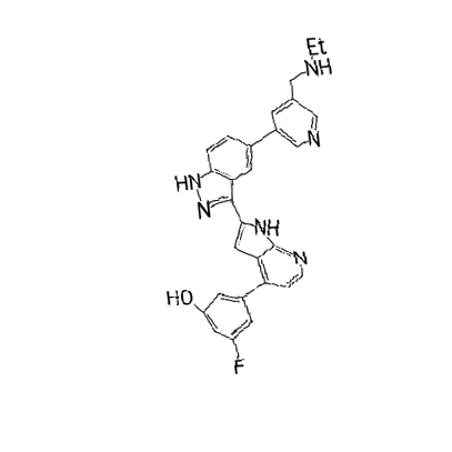 CCNCc1cncc(-c2ccc3[nH]nc(-c4cc5c(-c6cc(O)cc(F)c6)ccnc5[nH]4)c3c2)c1